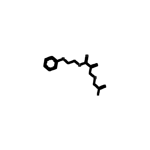 C=C(C)COCC(=C)C(=O)OCCOc1ccccc1